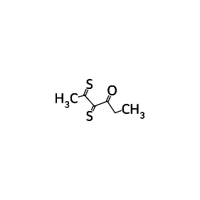 CCC(=O)C(=S)C(C)=S